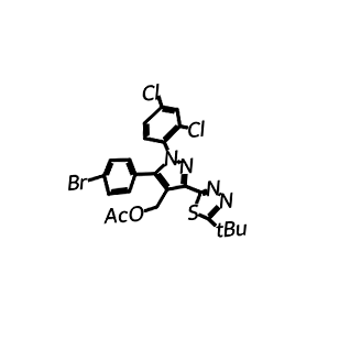 CC(=O)OCc1c(-c2nnc(C(C)(C)C)s2)nn(-c2ccc(Cl)cc2Cl)c1-c1ccc(Br)cc1